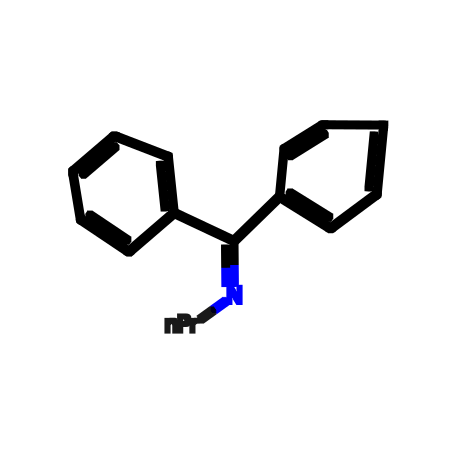 CCCN=C(c1ccccc1)c1ccccc1